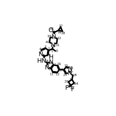 CC(c1ccnc(Nc2nc3ccc(-c4cnn(CC5CC(F)(F)C5)c4)cc3[nH]2)c1)N1CCN(C(=O)C2CC2)CC1